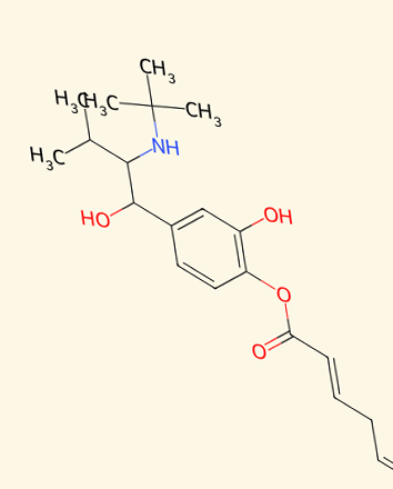 C=CC/C=C/C(=O)Oc1ccc(C(O)C(NC(C)(C)C)C(C)C)cc1O